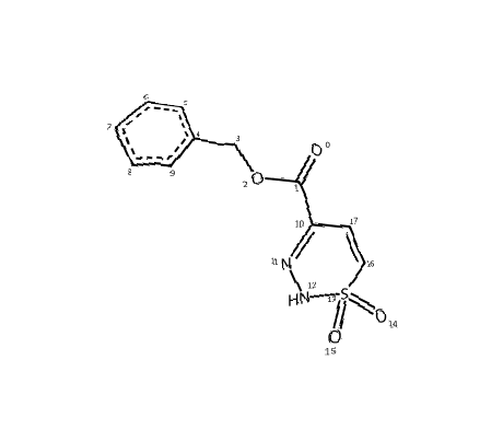 O=C(OCc1ccccc1)C1=NNS(=O)(=O)C=C1